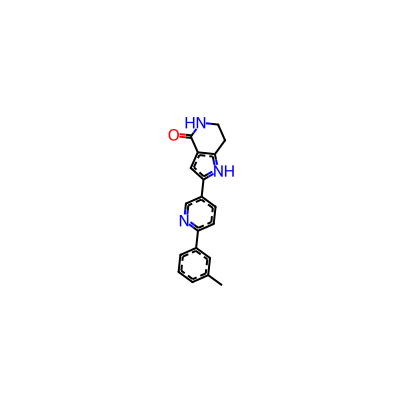 Cc1cccc(-c2ccc(-c3cc4c([nH]3)CCNC4=O)cn2)c1